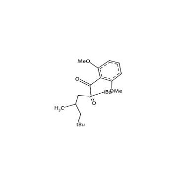 CCC(C)P(=O)(CC(C)CC(C)(C)C)C(=O)c1c(OC)cccc1OC